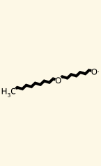 CCCCCCCCCCOCCCCCCC[O]